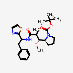 CO[C@H](C(C)C(=O)NC(Cc1ccccc1)c1nccs1)[C@@H]1CCCN1C(=O)OC(C)(C)C